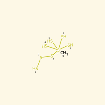 CS(S)(S)(S)(S)SSS